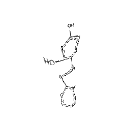 Oc1ccc(N=Nc2ccccn2)c(O)c1